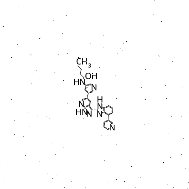 CCCCC(O)Nc1cncc(-c2cnc3[nH]nc(-c4nc5c(-c6cccnc6)cccc5[nH]4)c3c2)c1